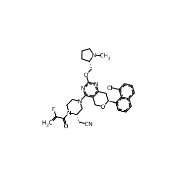 C=C(F)C(=O)N1CCN(c2nc(OC[C@@H]3CCCN3C)nc3c2CO[C@H](c2cccc4cccc(Cl)c24)C3)C[C@@H]1CC#N